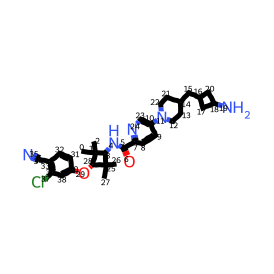 CC1(C)C(NC(=O)c2ccc(N3CCC(CC4CC(N)C4)CC3)cn2)C(C)(C)C1Oc1ccc(C#N)c(Cl)c1